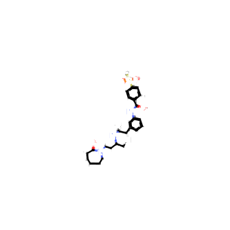 CCC(CCN1CCCCCC1=O)NC(C)Cc1cccc(NC(=O)c2ccc(S(C)(=O)=O)cc2)c1